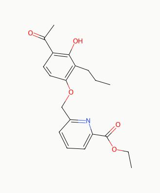 CCCc1c(OCc2cccc(C(=O)OCC)n2)ccc(C(C)=O)c1O